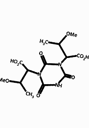 COC(C)C(C(=O)O)n1c(=O)[nH]c(=O)n(C(C(=O)O)C(C)OC)c1=O